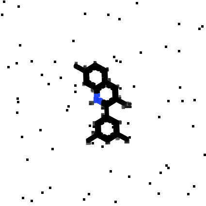 CCc1cc2ccc(C)cc2nc1-c1cc(C)cc(C)c1